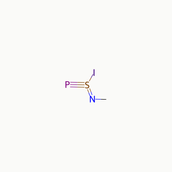 CN=S(#P)I